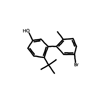 Cc1ccc(Br)cc1-c1cc(O)ccc1C(C)(C)C